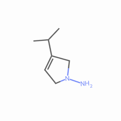 CC(C)C1=CCN(N)C1